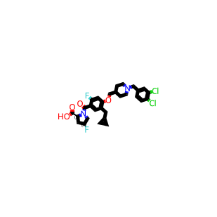 O=C(O)[C@@H]1C[C@@H](F)CN1C(=O)c1cc(CC2CC2)c(OCC2CCN(Cc3ccc(Cl)c(Cl)c3)CC2)cc1F